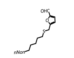 CCCCCCCCCCCCCCSCc1ccc(C=O)o1